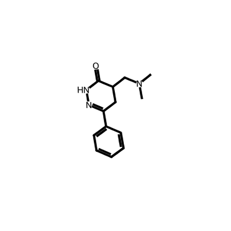 CN(C)CC1CC(c2ccccc2)=NNC1=O